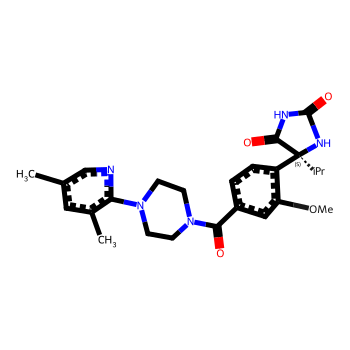 COc1cc(C(=O)N2CCN(c3ncc(C)cc3C)CC2)ccc1[C@]1(C(C)C)NC(=O)NC1=O